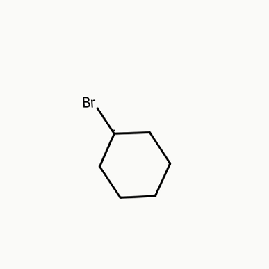 Br[C]1CCCCC1